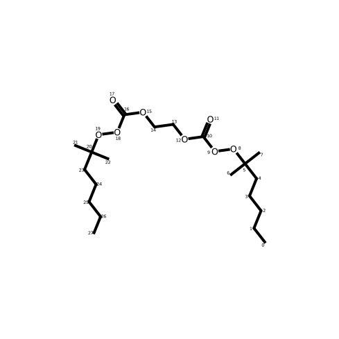 CCCCCC(C)(C)OOC(=O)OCCOC(=O)OOC(C)(C)CCCCC